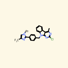 Cc1nc(Cl)nc2c1c1ccccc1n2Cc1ccc(-c2nc(C(F)(F)F)cn2C(C)C)cc1